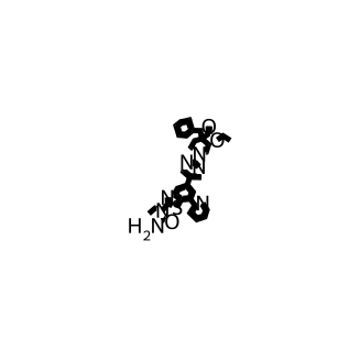 CCOC(=O)C1(Cc2ccccc2)CCN(c2ncc(-c3cc(-c4ccccn4)c4sc(N(CC)C(N)=O)nc4c3)cn2)CC1